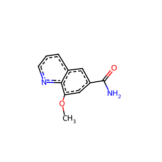 COc1cc(C(N)=O)cc2cccnc12